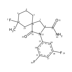 CC1(F)C[CH]CC2(CC(C(N)=O)N(c3cc(F)cc(F)c3)C2=O)C1